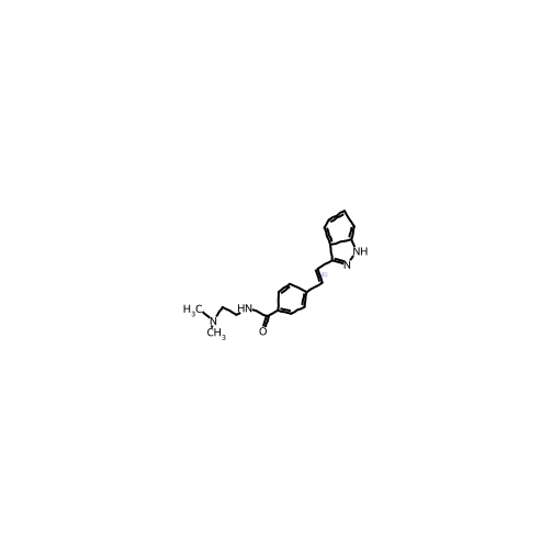 CN(C)CCNC(=O)c1ccc(/C=C/c2n[nH]c3ccccc23)cc1